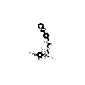 COc1cc(C)c(S(=O)(=O)N(C)CCOCC(=O)NCc2ccc(-c3cn4c(n3)CCCC4)cc2)c(C)c1